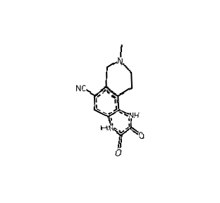 CN1CCc2c(c(C#N)cc3[nH]c(=O)c(=O)[nH]c23)C1